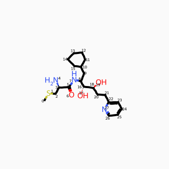 CSC[C@@H](N)C(=O)NC(CC1CCCCC1)[C@@H](O)[C@@H](O)CCc1ccccn1